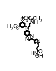 COc1cc(OC)cc(N(CCNC(C)C)c2ccc3ncc(-c4cnn(CCC(=O)NO)c4)nc3c2)c1